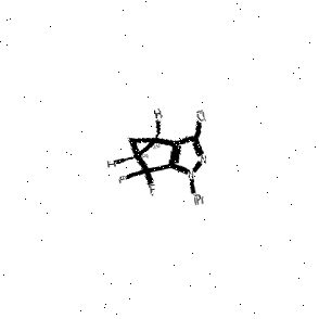 CC(C)n1nc(Cl)c2c1C(F)(F)[C@@H]1C[C@H]21